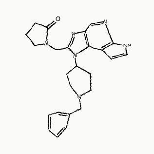 O=C1CCCN1Cc1nc2cnc3[nH]ccc3c2n1C1CCN(Cc2ccccc2)CC1